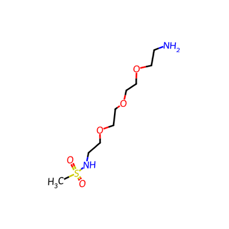 CS(=O)(=O)NCCOCCOCCOCCN